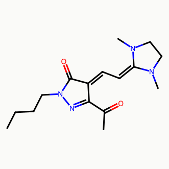 CCCCN1N=C(C(C)=O)/C(=C\C=C2N(C)CCN2C)C1=O